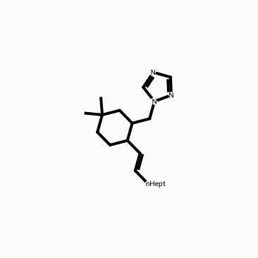 CCCCCCCC=CC1CCC(C)(C)CC1Cn1cncn1